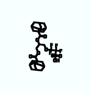 O=C(OCC(COC(F)(F)C(F)(F)S(=O)(=O)O)OC(=O)C12CC3CC(CC(C3)C1)C2)C12CC3CC(CC(C3)C1)C2